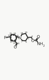 NC(=O)OCC1CCN(c2ccc(F)cc2C=O)CC1